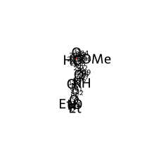 CCN(CC)C(=O)OC[C@H]1CC[C@@H](C(=O)NC[C@H]2CC[C@H](C)[C@@H](/C(C)=C/C=C/[C@@H](C)C[C@@]3(C)O[C@@H]3[C@H](C)[C@@H](OC)[C@@H](C)O)O2)CC1